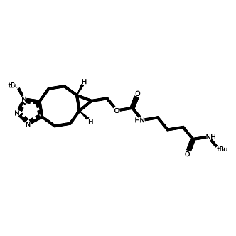 CC(C)(C)NC(=O)CCCNC(=O)OCC1[C@H]2CCc3c(nnn3C(C)(C)C)CC[C@@H]12